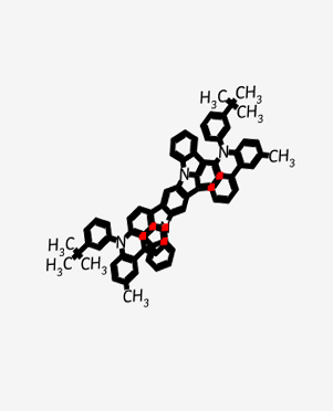 Cc1ccc(N(c2cccc(C(C)(C)C)c2)c2ccc3c4cc5c(cc4n4c6ccccc6c2c34)c2ccc(N(c3cccc(C(C)(C)C)c3)c3ccc(C)cc3-c3ccccc3)c3c4ccccc4n5c23)c(-c2ccccc2)c1